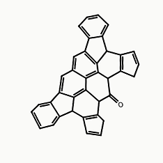 O=C1C2C3=C(C=CC3)C3c4ccccc4-c4cc5cc6c7c(c5c2c43)C1C1=C(C=CC1)C7c1ccccc1-6